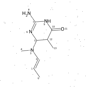 C/C=C/N(C)C1N=C(N)NC(=O)C1C